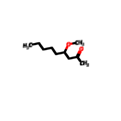 CCCCCC(CC(C)=O)OC